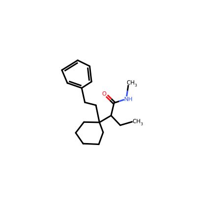 CCC(C(=O)NC)C1(CCc2ccccc2)CCCCC1